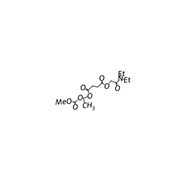 CCN(CC)C(=O)COC(=O)CCC(=O)OC(C)OC(=O)OC